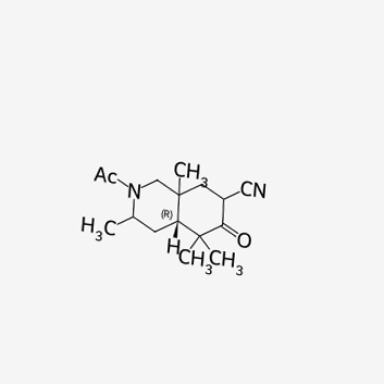 CC(=O)N1CC2(C)CC(C#N)C(=O)C(C)(C)[C@@H]2CC1C